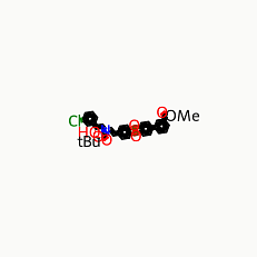 COC(=O)c1cccc(-c2ccc(S(=O)(=O)c3ccc(CCN(C[C@H](O)c4cccc(Cl)c4)C(=O)OC(C)(C)C)cc3)cc2)c1